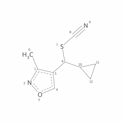 Cc1nocc1C(SC#N)C1CC1